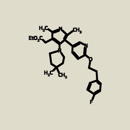 CCOC(=O)Cc1c(C)nc(C)c(-c2ccc(OCCc3ccc(F)cc3)nc2)c1N1CCC(C)(C)CC1